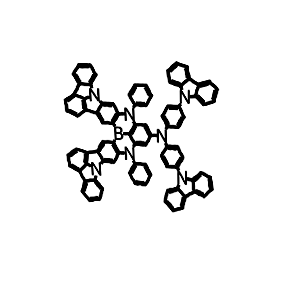 c1ccc(N2c3cc4c(cc3B3c5cc6c7cccc8c9ccccc9n(c6cc5N(c5ccccc5)c5cc(N(c6ccc(-n9c%10ccccc%10c%10ccccc%109)cc6)c6ccc(-n9c%10ccccc%10c%10ccccc%109)cc6)cc2c53)c87)c2cccc3c5ccccc5n4c32)cc1